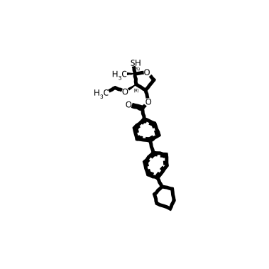 CCO[C@@H]1C(OC(=O)c2ccc(-c3ccc(C4CCCCC4)cc3)cc2)CO[C@@]1(C)S